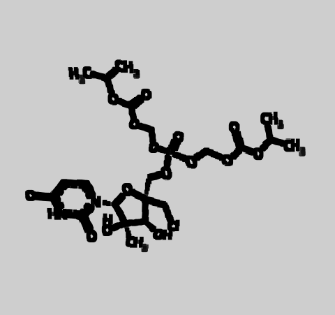 CC(C)OC(=O)OCOP(=O)(OCOC(=O)OC(C)C)OC[C@@]1(CCl)O[C@@H](n2ccc(=O)[nH]c2=O)[C@](C)(O)[C@@H]1O